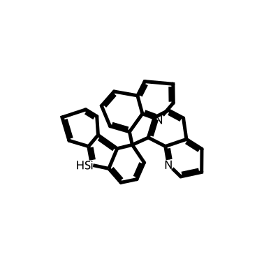 C1=CC(c2cccc3cccnc23)(c2cccc3cccnc23)C2=c3ccccc3=[SiH]C2=C1